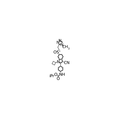 CC(C)OC(=O)Nc1ccc(-c2c(C#N)c3ccc([S+]([O-])CCc4nncn4C)cc3n2C2CCC2)cc1